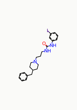 O=C(NCCCN1CCC(Cc2ccccc2)CC1)Nc1cccc(I)c1